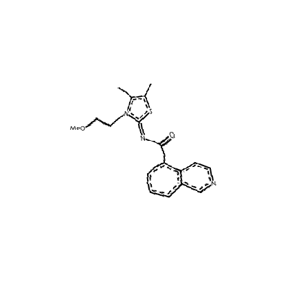 COCCn1c(C)c(C)s/c1=N\C(=O)c1cccc2cnccc12